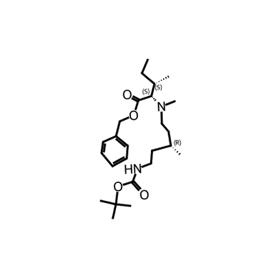 CC[C@H](C)[C@@H](C(=O)OCc1ccccc1)N(C)CC[C@H](C)CCNC(=O)OC(C)(C)C